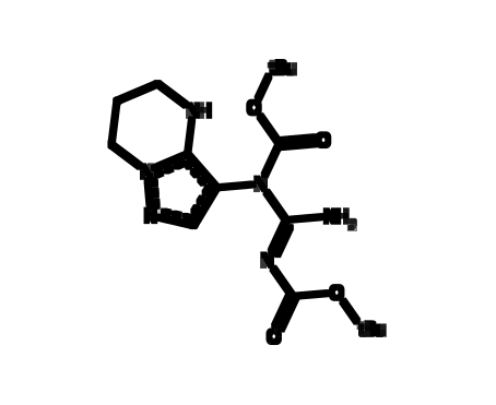 CC(C)(C)OC(=O)N=C(N)N(C(=O)OC(C)(C)C)c1cnn2c1NCCC2